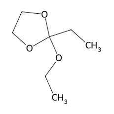 CCOC1(CC)OCCO1